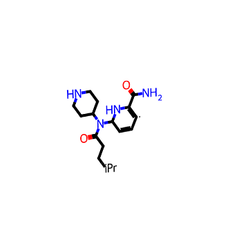 CC(C)CCC(=O)N(C1CCNCC1)C1C=C[C]=C(C(N)=O)N1